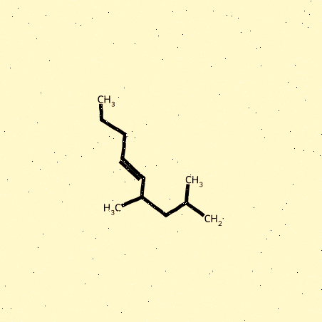 [CH2]C(C)CC(C)C=CCCC